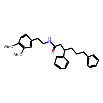 COc1ccc(CCNC(=O)CC(CCCc2ccccc2)c2ccccc2)cc1OC